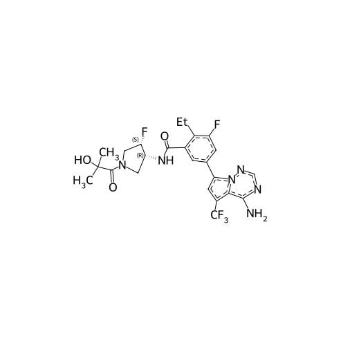 CCc1c(F)cc(-c2cc(C(F)(F)F)c3c(N)ncnn23)cc1C(=O)N[C@@H]1CN(C(=O)C(C)(C)O)C[C@@H]1F